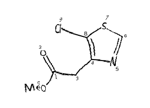 COC(=O)Cc1ncsc1Cl